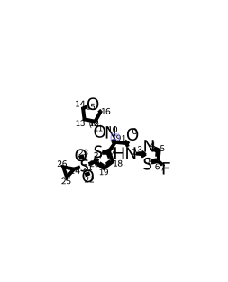 O=C(Nc1ncc(F)s1)/C(=N/O[C@@H]1CCOC1)c1ccc(S(=O)(=O)C2CC2)s1